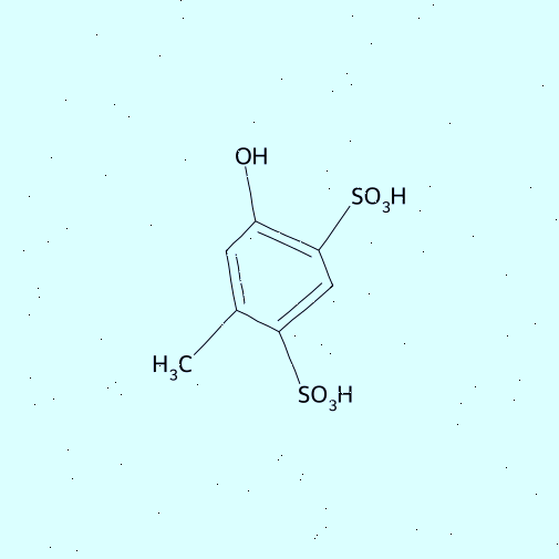 Cc1cc(O)c(S(=O)(=O)O)cc1S(=O)(=O)O